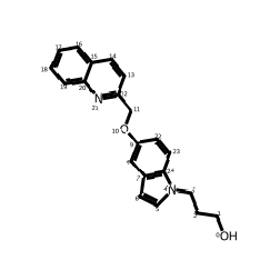 OCCCn1ccc2cc(OCc3ccc4ccccc4n3)ccc21